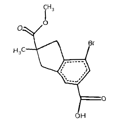 COC(=O)C1(C)Cc2cc(C(=O)O)cc(Br)c2C1